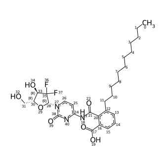 CCCCCCCCCCCCc1cccc(C(=O)O)c1C(=O)Nc1ccn([C@@H]2O[C@H](CO)[C@@H](O)C2(F)F)c(=O)n1